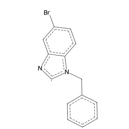 Brc1ccc2c(c1)n[c]n2Cc1ccccc1